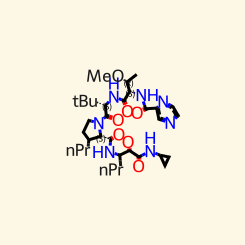 CCCC(NC(=O)[C@@H]1C(CCC)CCN1C(=O)[C@@H](NC(=O)[C@@H](NC(=O)c1cnccn1)[C@@H](C)OC)C(C)(C)C)C(=O)C(=O)NC1CC1